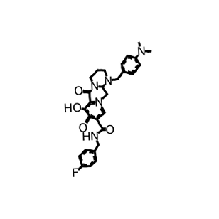 CN(C)c1ccc(CN2CCCN3C(=O)c4c(O)c(=O)c(C(=O)NCc5ccc(F)cc5)cn4CC23)cc1